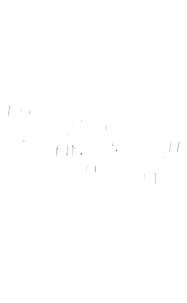 O=C(O)C1=C(Cl)CS[C@H]2C(NC(=O)C(c3cccc(Cl)c3)S(=O)(=O)O)C(=O)N12